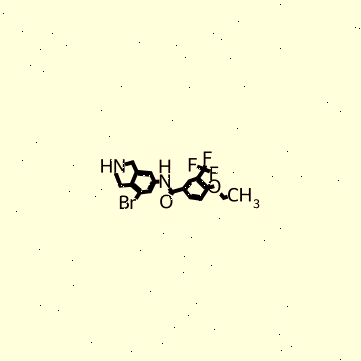 CCOc1ccc(C(=O)Nc2cc(Br)c3c(c2)CNCC3)cc1C(F)(F)F